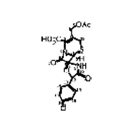 CC(=O)OCC1=C(C(=O)O)N2C(=O)C3(NC(=O)C(c4ccc(Cl)cc4)O3)[C@@H]2SC1